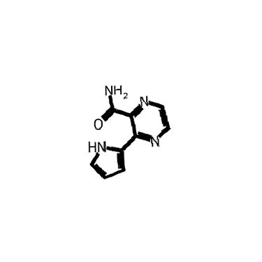 NC(=O)c1nccnc1-c1ccc[nH]1